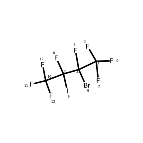 FC(F)(F)C(F)(Br)C(F)(I)C(F)(F)F